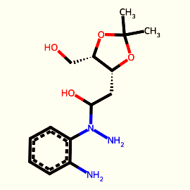 CC1(C)O[C@@H](CO)[C@@H](CC(O)N(N)c2ccccc2N)O1